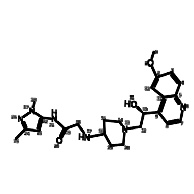 COc1ccc2nccc([C@H](O)CN3CCC(NCC(=O)Nc4cc(C)nn4C)CC3)c2c1